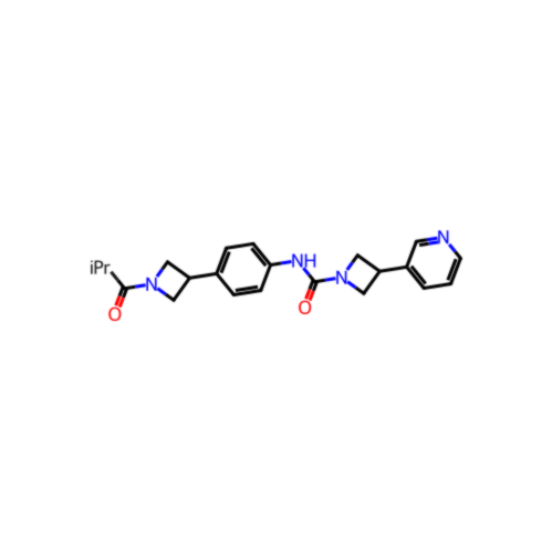 CC(C)C(=O)N1CC(c2ccc(NC(=O)N3CC(c4cccnc4)C3)cc2)C1